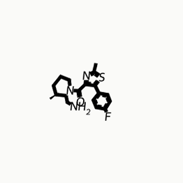 Cc1nc(C(=O)N2CCC[C@H](C)C2CN)c(-c2ccc(F)cc2)s1